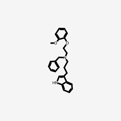 COc1ccccc1OCCN(CCCc1c[nH]c2ccccc12)Cc1ccccc1